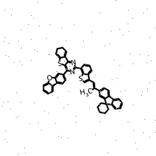 C/C(=C\c1csc2c(-c3nc(-c4ccc5c(c4)oc4ccccc45)c4sc5c(c4n3)=CCCC=5)cccc12)c1ccc2c(c1)C1(CCCCC1)c1ccccc1-2